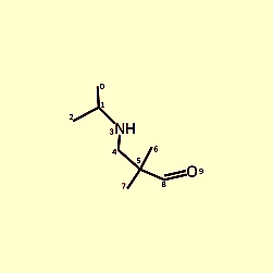 CC(C)NCC(C)(C)C=O